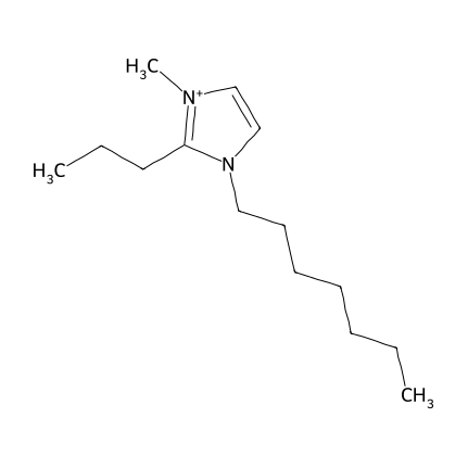 CCCCCCCn1cc[n+](C)c1CCC